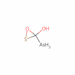 OC1([AsH2])OS1